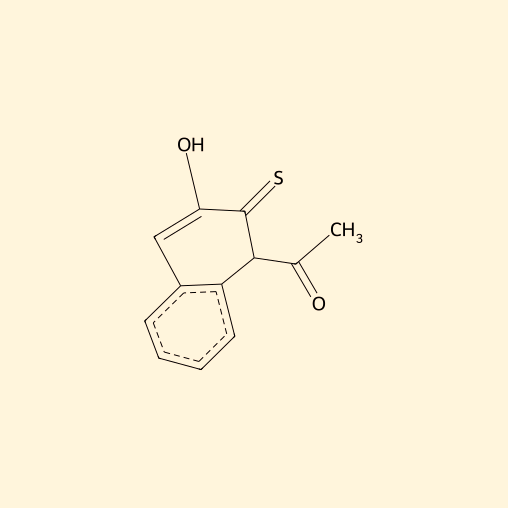 CC(=O)C1C(=S)C(O)=Cc2ccccc21